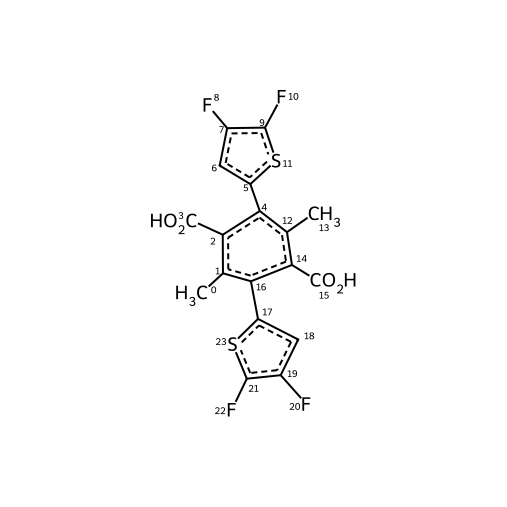 Cc1c(C(=O)O)c(-c2cc(F)c(F)s2)c(C)c(C(=O)O)c1-c1cc(F)c(F)s1